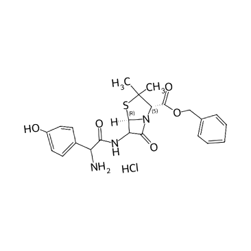 CC1(C)S[C@@H]2C(NC(=O)C(N)c3ccc(O)cc3)C(=O)N2[C@H]1C(=O)OCc1ccccc1.Cl